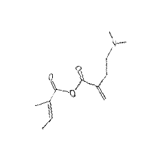 C=C(CCN(C)C)C(=O)OC(=O)C(C)=CC